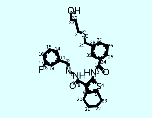 O=C(Nc1sc2c(c1C(=O)N/N=C/c1cccc(F)c1)CCCC2)c1cccc(CSCCCO)c1